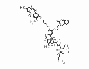 C=CCOC(=O)N[C@H](C(=O)N[C@@H](C)C(=O)N[N+]12C=C(C)C[C@H]1C=Nc1cc(OCCCCCOc3cc4c(cc3OC)C(=O)N3C=C(C)C[C@H]3C=N4)c(OCCCN(Cc3ccccc3)C(=O)O)cc1C2=O)C(C)C